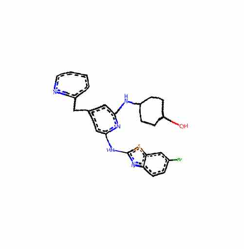 OC1CCC(Nc2cc(Cc3ccccn3)cc(Nc3nc4ccc(Br)cc4s3)n2)CC1